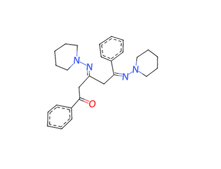 O=C(CC(CC(=NN1CCCCC1)c1ccccc1)=NN1CCCCC1)c1ccccc1